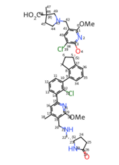 COc1nc(O[C@H]2CCc3c(-c4cccc(-c5cc(C)c(CNC[C@@H]6CCC(=O)N6)c(OC)n5)c4Cl)cccc32)c(Cl)cc1CN1CC[C@@](C)(C(=O)O)C1